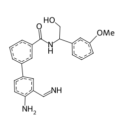 COc1cccc(C(CO)NC(=O)c2cccc(-c3ccc(N)c(C=N)c3)c2)c1